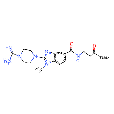 COC(=O)CCNC(=O)c1ccc2c(c1)nc(N1CCN(C(=N)N)CC1)n2C